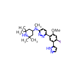 COc1cc(I)c(-c2ccn[nH]2)cc1-c1ccc(N(C)C2CC(C)(C)NC(C)(C)C2)nn1